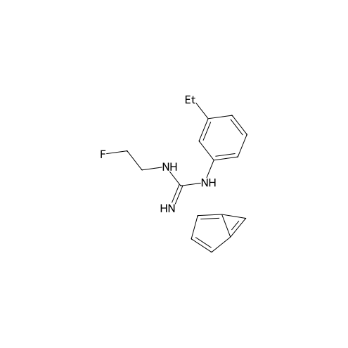 CCc1cccc(NC(=N)NCCF)c1.c1cc2cc-2c1